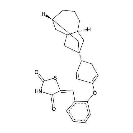 O=C1NC(=O)/C(=C\c2ccccc2OC2=CCC([C@@]34CC5C[C@H](CCC[C@H]5C3)C4)C=C2)S1